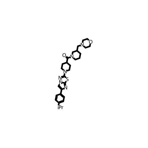 CC(C)c1ccc(-c2cn3nc(N4CCC(C(=O)N5CCCC(CN6CCOCC6)C5)CC4)sc3n2)cc1